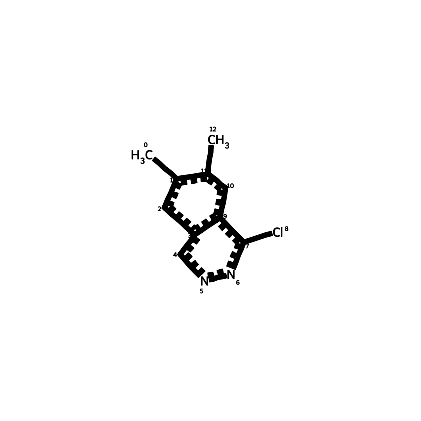 Cc1cc2cnnc(Cl)c2cc1C